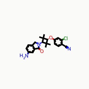 CC1(C)[C@H](Oc2ccc(C#N)c(Cl)c2)C(C)(C)[C@H]1N1Cc2ccc(N)cc2C1=O